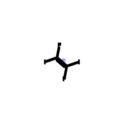 F/C(I)=C(/F)I